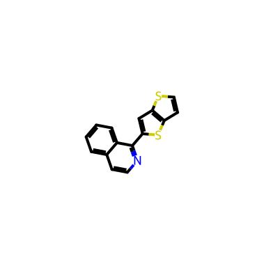 c1ccc2c(-c3cc4sccc4s3)nccc2c1